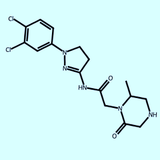 CC1CNCC(=O)N1CC(=O)NC1=NN(c2ccc(Cl)c(Cl)c2)CC1